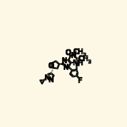 CC1Nc2c(nc([C@@H]3CCO[C@@H](c4cnn(C5CC5)c4)C3)nc2-c2ccc(F)cc2F)C(=O)N1C